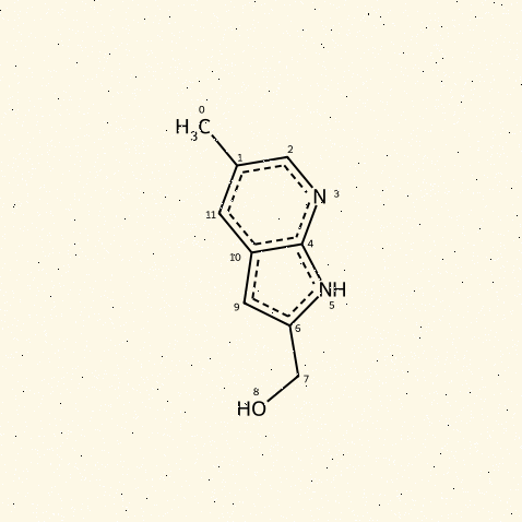 Cc1cnc2[nH]c(CO)cc2c1